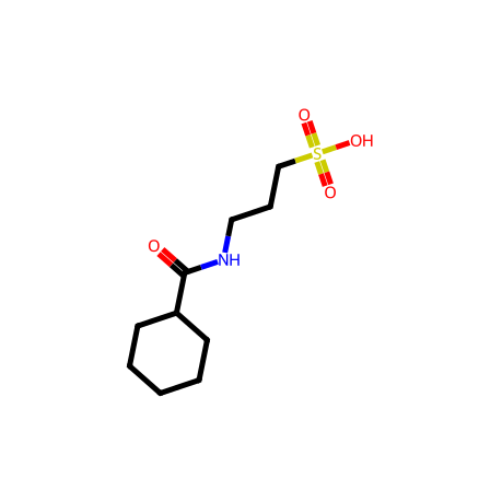 O=C(NCCCS(=O)(=O)O)C1CCCCC1